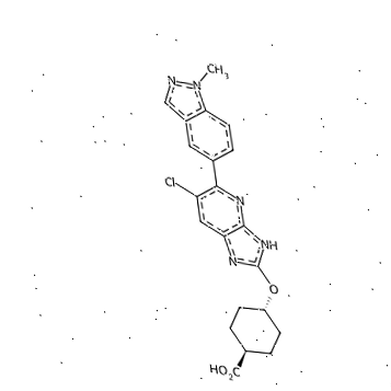 Cn1ncc2cc(-c3nc4[nH]c(O[C@H]5CC[C@H](C(=O)O)CC5)nc4cc3Cl)ccc21